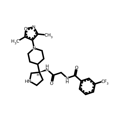 Cc1noc(C)c1N1CCC([C@]2(NC(=O)CNC(=O)c3cccc(C(F)(F)F)c3)CCNC2)CC1